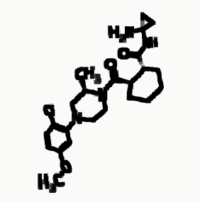 COc1ccc(Cl)c(N2CCN(C(=O)[C@@H]3CCCC[C@H]3C(=O)NC3(N)CC3)[C@H](C)C2)c1